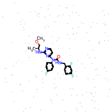 COC[C@H](C)Nc1nccc(N(C(=O)NCc2ccc(F)cc2F)c2ccc(F)cc2)n1